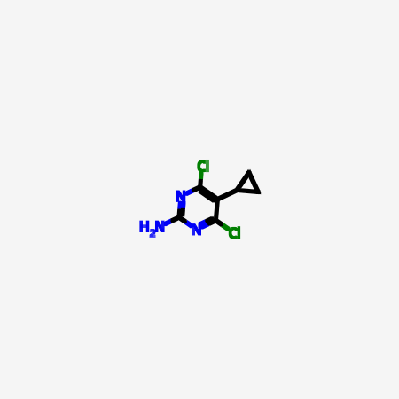 Nc1nc(Cl)c(C2CC2)c(Cl)n1